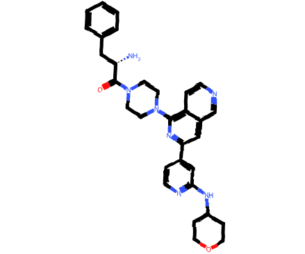 N[C@@H](Cc1ccccc1)C(=O)N1CCN(c2nc(-c3ccnc(NC4CCOCC4)c3)cc3cnccc23)CC1